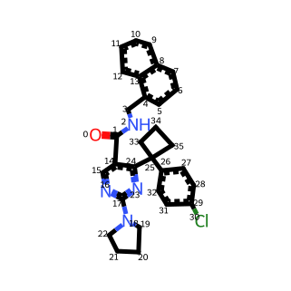 O=C(NCc1cccc2ccccc12)c1cnc(N2CCCC2)nc1C1(c2ccc(Cl)cc2)CCC1